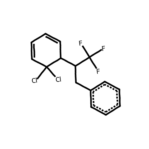 FC(F)(F)C(Cc1ccccc1)C1C=CC=CC1(Cl)Cl